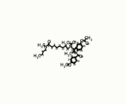 CCCCN(C)C(=O)CCCCCCCN(C(C)=O)c1c(C)n(C(=O)c2ccc(OC)cc2)c2ccc(OC(C)=O)cc12